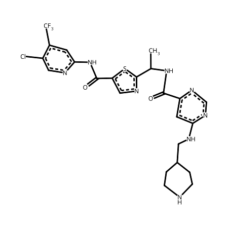 CC(NC(=O)c1cc(NCC2CCNCC2)ncn1)c1ncc(C(=O)Nc2cc(C(F)(F)F)c(Cl)cn2)s1